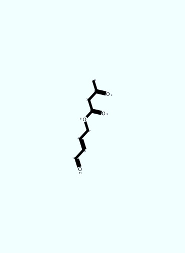 CC(=O)CC(=O)OCC=CC=O